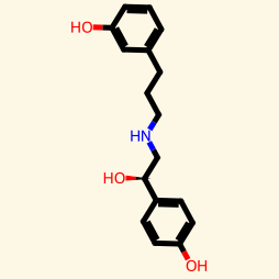 Oc1ccc([C@@H](O)CNCCCc2cccc(O)c2)cc1